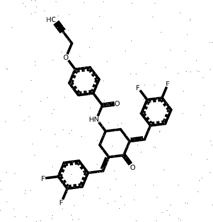 C#CCOc1ccc(C(=O)NC2C/C(=C\c3ccc(F)c(F)c3)C(=O)/C(=C/c3ccc(F)c(F)c3)C2)cc1